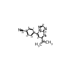 CN(C)c1cc(-c2ccc(C#N)cc2)n2ncnc2n1